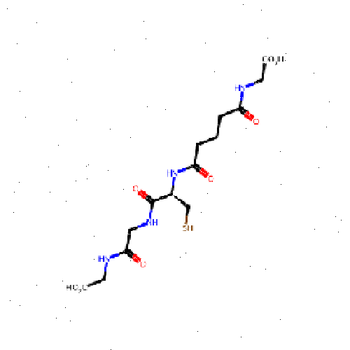 O=C(O)CNC(=O)CCCC(=O)N[C@@H](CS)C(=O)NCC(=O)NCC(=O)O